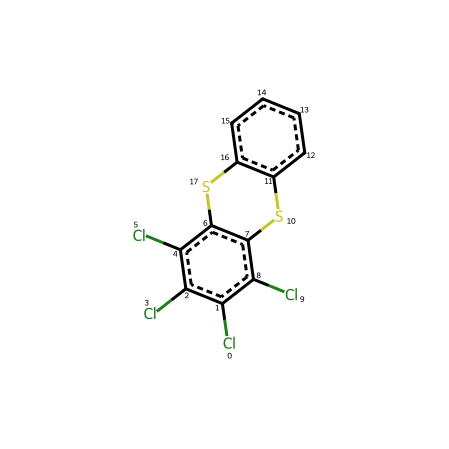 Clc1c(Cl)c(Cl)c2c(c1Cl)Sc1ccccc1S2